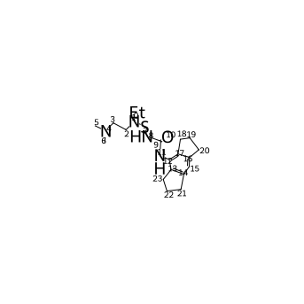 CCN(CCN(C)C)SNC(=O)Nc1c2c(cc3c1CCC3)CCC2